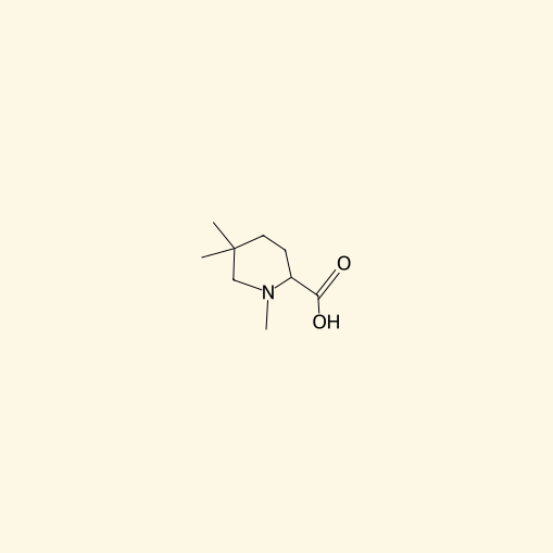 CN1CC(C)(C)CCC1C(=O)O